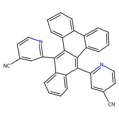 N#Cc1ccnc(-c2c3ccccc3c(-c3cc(C#N)ccn3)c3c4ccccc4c4ccccc4c23)c1